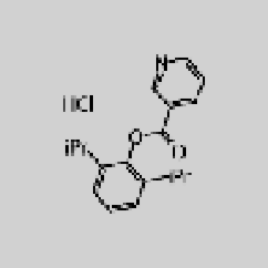 CC(C)c1cccc(C(C)C)c1OC(=O)c1cccnc1.Cl